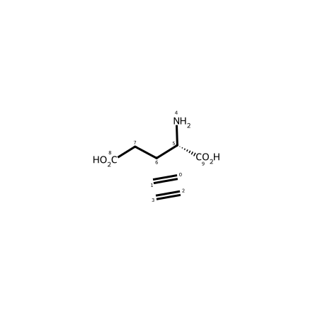 C=C.C=C.N[C@@H](CCC(=O)O)C(=O)O